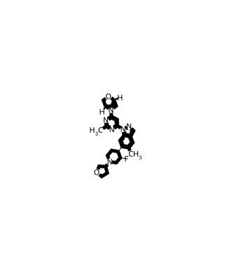 Cc1nc(N2C[C@@H]3C[C@H]2CO3)cc(-n2ncc3cc(C)c([C@H]4CCN(C5CCOC5)C[C@H]4F)cc32)n1